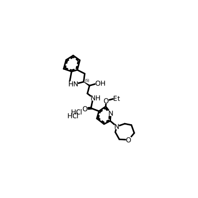 CCOc1nc(N2CCCOCC2)ccc1C(=O)NCC(O)[C@@H]1Cc2ccccc2CN1.Cl.Cl